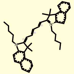 CCCCCN1/C(=C/C=C/C=C/C2=[N+](CCCCC)c3ccc4ccccc4c3C2(C)C)C(C)(C)c2c1ccc1ccccc21